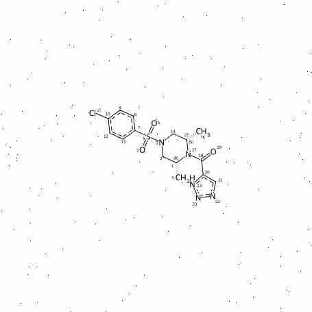 C[C@@H]1CN(S(=O)(=O)c2ccc(Cl)cc2)C[C@H](C)N1C(=O)c1cnn[nH]1